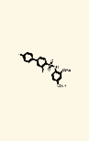 COc1cc(C(=O)O)ccc1NS(=O)(=O)c1ccc(-c2ccc(F)cc2)cc1F